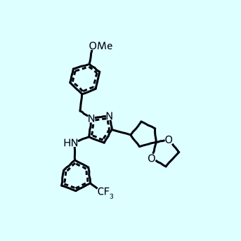 COc1ccc(Cn2nc(C3CCC4(C3)OCCO4)cc2Nc2cccc(C(F)(F)F)c2)cc1